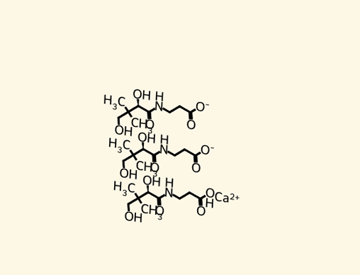 CC(C)(CO)[C@@H](O)C(=O)NCCC(=O)O.CC(C)(CO)[C@@H](O)C(=O)NCCC(=O)[O-].CC(C)(CO)[C@@H](O)C(=O)NCCC(=O)[O-].[Ca+2]